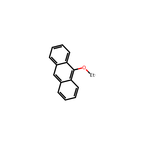 C[CH]Oc1c2ccccc2cc2ccccc12